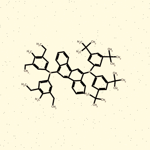 CCc1cc(N(c2cc(CC)c(C)c(CC)c2)c2cc3c4ccccc4c(N(c4cc(C(C)(C)C)cc(C(C)(C)C)c4)c4cc(C(C)(C)C)cc(C(C)(C)C)c4)cc3c3ccccc23)cc(CC)c1C